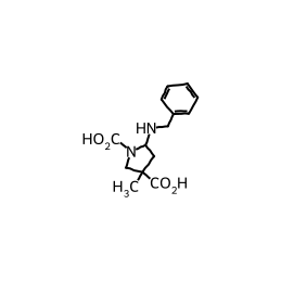 CC1(C(=O)O)CC(NCc2ccccc2)N(C(=O)O)C1